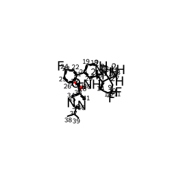 [2H]C([2H])([2H])C1(C([2H])([2H])[2H])CC(F)(F)CC=C1c1nccc(-c2cc(F)ccc2F)c1NC(=O)c1cnc(C(C)C)nc1